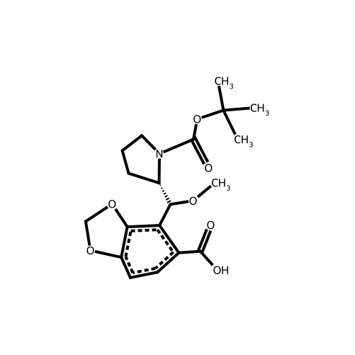 COC(c1c(C(=O)O)ccc2c1OCO2)[C@@H]1CCCN1C(=O)OC(C)(C)C